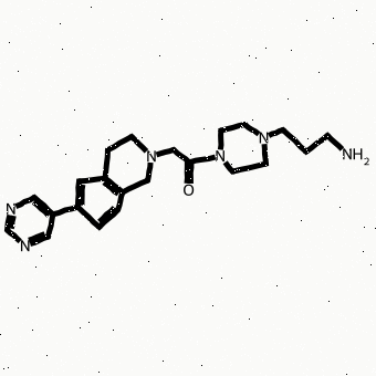 NCCCN1CCN(C(=O)CN2CCc3cc(-c4cncnc4)ccc3C2)CC1